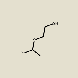 CC(C)C(C)SCCS